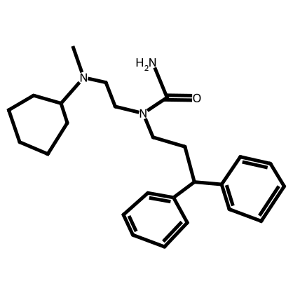 CN(CCN(CCC(c1ccccc1)c1ccccc1)C(N)=O)C1CCCCC1